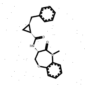 CN1C(=O)[C@@H](NC(=O)[C@@H]2C[C@H]2Cc2ccccc2)COc2ccccc21